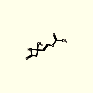 CC(=O)O/C=C/C1(C)CC(=O)N1